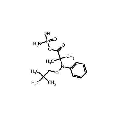 CC(C)(C)CON(c1ccccc1)C(C)(C)C(=O)OP(N)(=O)O